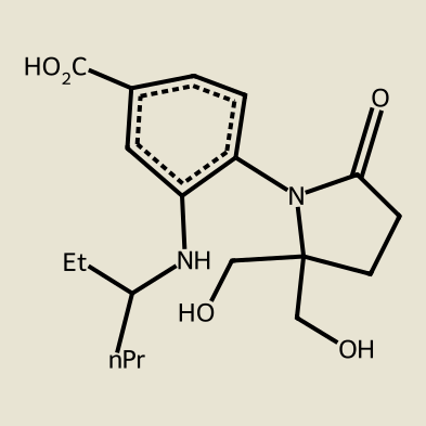 CCCC(CC)Nc1cc(C(=O)O)ccc1N1C(=O)CCC1(CO)CO